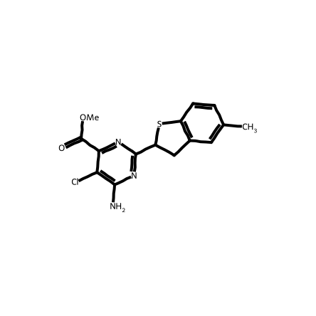 COC(=O)c1nc(C2Cc3cc(C)ccc3S2)nc(N)c1Cl